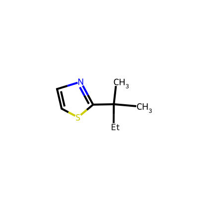 CCC(C)(C)c1nccs1